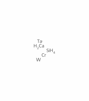 [CaH2].[Cr].[SiH4].[Ta].[W]